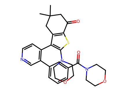 CC1(C)CC(=O)c2sc(N3CCOCC3)c(-c3ccncc3-c3cccc(C(=O)N4CCOCC4)c3)c2C1